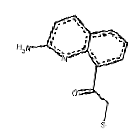 Nc1ccc2cccc(C(=O)C[S])c2n1